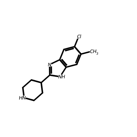 Cc1cc2[nH]c(C3CCNCC3)nc2cc1Cl